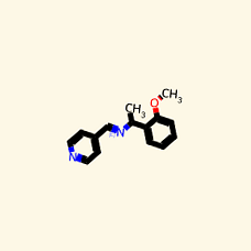 COc1ccccc1C(C)/N=C/c1ccncc1